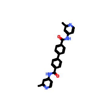 Cc1cc(NC(=O)c2ccc(-c3ccc(C(=O)Nc4ccnc(C)c4)cc3)cc2)ccn1